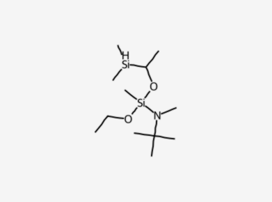 CCO[Si](C)(OC(C)[SiH](C)C)N(C)C(C)(C)C